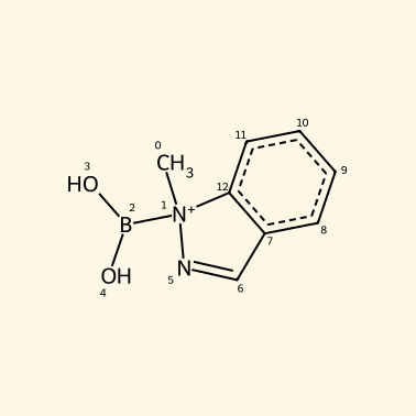 C[N+]1(B(O)O)N=Cc2ccccc21